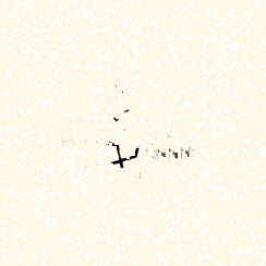 O=C([O-])CC(O)(CC(=O)O)C(=O)[O-].O=P([O-])([O-])[O-].[Na+].[Na+].[Na+].[Na+].[Na+]